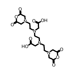 O=C(O)CN(CCN(CCN1CC(=O)OC(=O)C1)CC(=O)O)CCN1CC(=O)OC(=O)C1